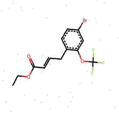 CCOC(=O)C=CCc1ccc(Br)cc1OC(F)(F)F